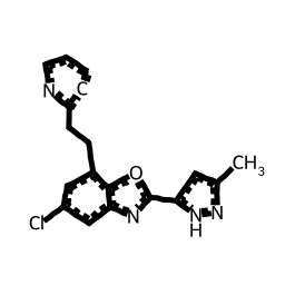 Cc1cc(-c2nc3cc(Cl)cc(CCc4ccccn4)c3o2)[nH]n1